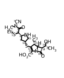 CCSC(C(=O)N(C)C#N)[C@@H]1C[C@H](SC2=C(C(=O)O)N3C(=O)[C@H]([C@@H](C)O)[C@H]3[C@H]2C)CN1